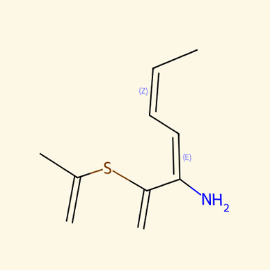 C=C(C)SC(=C)/C(N)=C\C=C/C